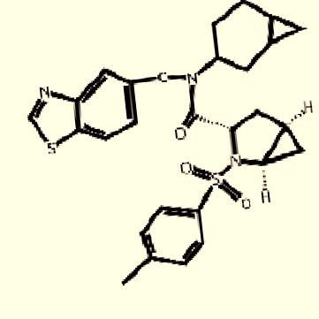 Cc1ccc(S(=O)(=O)N2[C@@H]3C[C@@H]3C[C@H]2C(=O)N(Cc2ccc3scnc3c2)C2CCC3CC3C2)cc1